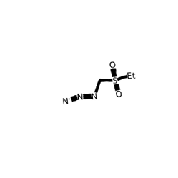 CCS(=O)(=O)CN=[N+]=[N-]